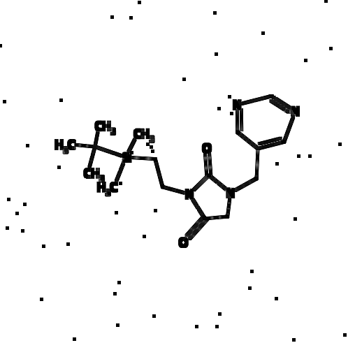 CC(C)(C)[Si](C)(C)CCN1C(=O)CN(Cc2cncnc2)C1=O